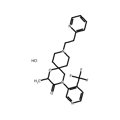 CC1OC2(CCN(CCc3ccccn3)CC2)CN(c2cnccc2C(F)(F)F)C1=O.Cl